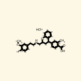 COc1cc(CCNCC2CC(c3ccc(C(=O)O)c(C)c3)c3ccccc3O2)ccc1F.Cl